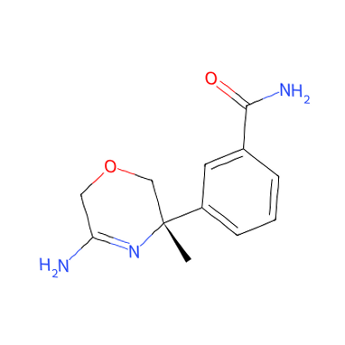 C[C@]1(c2cccc(C(N)=O)c2)COCC(N)=N1